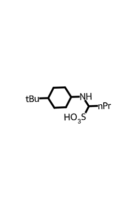 CCCC(NC1CCC(C(C)(C)C)CC1)S(=O)(=O)O